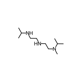 CC(C)NCCNCCN(C)C(C)C